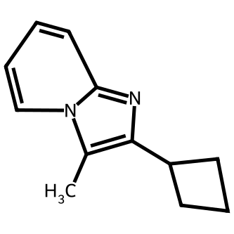 Cc1c(C2CCC2)nc2ccccn12